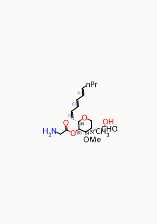 CCC/C=C/C=C/C=C\[C@@H]1OC[C@H](C)[C@H](OC)[C@H]1OC(=O)CN.O=CO